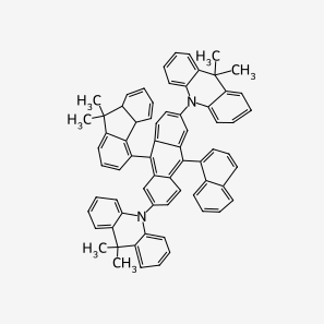 CC1(C)c2ccccc2N(c2ccc3c(-c4cccc5ccccc45)c4cc(N5c6ccccc6C(C)(C)c6ccccc65)ccc4c(-c4cccc5c4C4C=CC=CC4C5(C)C)c3c2)c2ccccc21